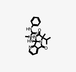 CC(C)C1(C)C(=O)NC2(NN(C)C(=S)Nc3ccccc3)c3ncccc3C(=O)N21